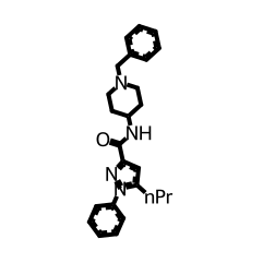 CCCc1cc(C(=O)NC2CCN(Cc3ccccc3)CC2)nn1-c1ccccc1